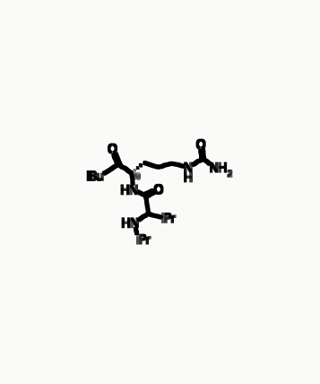 CCC(C)C(=O)[C@H](CCCNC(N)=O)NC(=O)C(NC(C)C)C(C)C